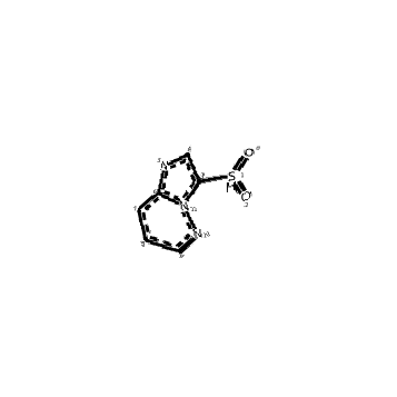 O=[SH](=O)c1cnc2cccnn12